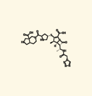 C[C@@H](NC(=O)Cn1cnnn1)[C@H]1C(=O)N2C(C(=O)O)=C(S[C@@H]3CNC(C(=O)N4CCC5CNCC5(C(=O)O)C4)C3)[C@H](C)[C@H]12